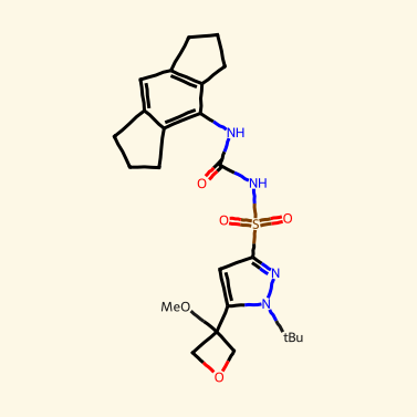 COC1(c2cc(S(=O)(=O)NC(=O)Nc3c4c(cc5c3CCC5)CCC4)nn2C(C)(C)C)COC1